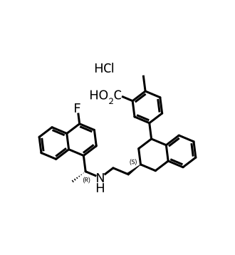 Cc1ccc(C2C[C@H](CCN[C@H](C)c3ccc(F)c4ccccc34)Cc3ccccc32)cc1C(=O)O.Cl